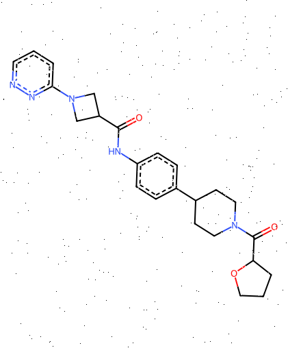 O=C(Nc1ccc(C2CCN(C(=O)C3CCCO3)CC2)cc1)C1CN(c2cccnn2)C1